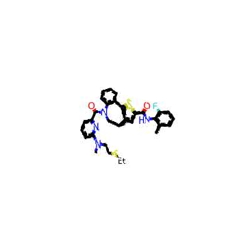 CCSCCN(C)c1cccc(C(=O)N2CCc3cc(C(=O)Nc4c(C)cccc4F)sc3-c3ccccc32)n1